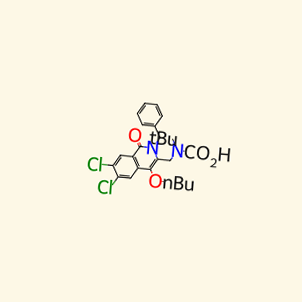 CCCCOc1c(CN(C(=O)O)C(C)(C)C)n(Cc2ccccc2)c(=O)c2cc(Cl)c(Cl)cc12